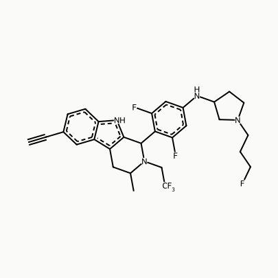 C#Cc1ccc2[nH]c3c(c2c1)CC(C)N(CC(F)(F)F)C3c1c(F)cc(NC2CCN(CCCF)C2)cc1F